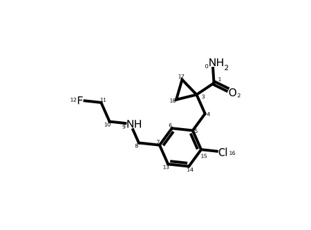 NC(=O)C1(Cc2cc(CNCCF)ccc2Cl)CC1